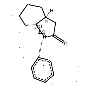 O=C1C[C@@H]2CCCC[C@@]23OC[C@H](c2ccccc2)N13